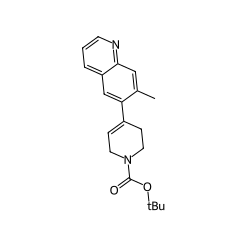 Cc1cc2ncccc2cc1C1=CCN(C(=O)OC(C)(C)C)CC1